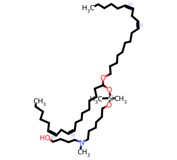 CCCCC/C=C\C/C=C\CCCCCCCCOC(CCCCCCC/C=C\C/C=C\CCCCC)O[Si](C)(C)OCCCCCCN(C)CCCCO